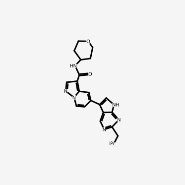 CC(C)Cc1ncc2c(-c3ccn4ncc(C(=O)NC5CCOCC5)c4c3)c[nH]c2n1